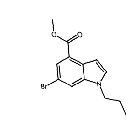 CCCn1ccc2c(C(=O)OC)cc(Br)cc21